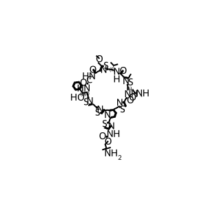 CNC(=O)C[C@@H]1NC(=O)c2csc(n2)-c2ccc(-c3nc(NC(=O)OCC(C)(C)N)cs3)nc2-c2csc(n2)-c2csc(n2)[C@H]([C@@H](O)c2ccccc2)NC(=O)CNC(=O)c2nc(sc2COC)[C@H](C(C)C)NC(=O)c2nc1sc2C